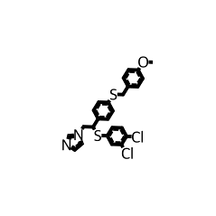 COc1ccc(CSc2ccc(C(Cn3ccnc3)Sc3ccc(Cl)c(Cl)c3)cc2)cc1